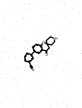 N#Cc1cccc(-c2ccc3c(c2)C(=O)CC2(CCNCC2)O3)c1